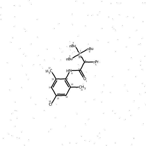 CCCC[PH](CCCC)(CCCC)C(CCC)C(=O)Nc1c(C)cc(Cl)cc1C